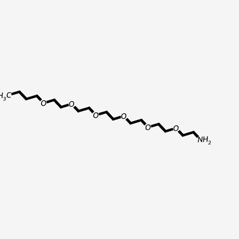 CCCCOCCOCCOCCOCCOCCOCCN